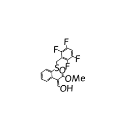 COC(=O)C(=CO)c1ccccc1SCc1c(F)c(F)cc(F)c1F